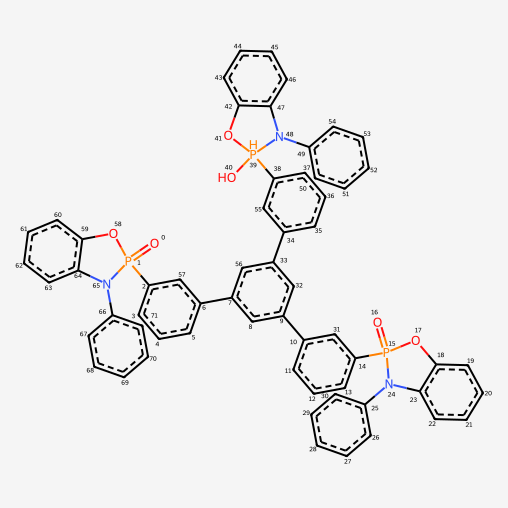 O=P1(c2cccc(-c3cc(-c4cccc(P5(=O)Oc6ccccc6N5c5ccccc5)c4)cc(-c4cccc([PH]5(O)Oc6ccccc6N5c5ccccc5)c4)c3)c2)Oc2ccccc2N1c1ccccc1